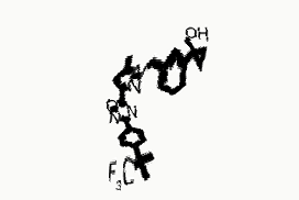 Cc1cc(-c2nc(-c3ccc(C(C)(C)C(F)(F)F)cc3)no2)nn1Cc1cccc(C2(CO)CC2)c1